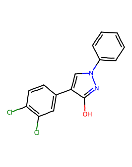 Oc1nn(-c2ccccc2)cc1-c1ccc(Cl)c(Cl)c1